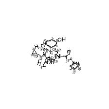 Cc1ccc(O)cc1C12CCN(C(=O)CCc3nccs3)CCC1(O)C(C)N(CC1CC1)CC2